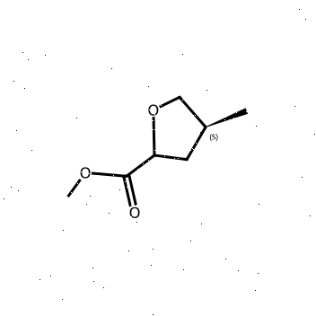 COC(=O)C1C[C@H](C)CO1